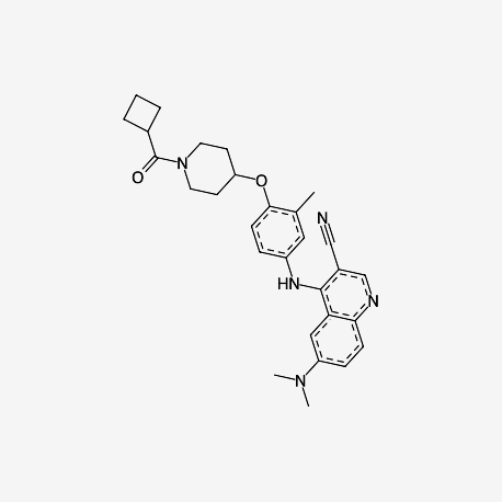 Cc1cc(Nc2c(C#N)cnc3ccc(N(C)C)cc23)ccc1OC1CCN(C(=O)C2CCC2)CC1